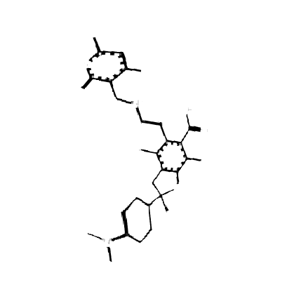 Cc1cc(C)c(CNCCc2c(Cl)c3c(c(C)c2C(=O)O)OC(C)(C2CCC(N(C)C)CC2)C3)c(=O)[nH]1